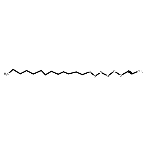 CC=COOOOOOCCCCCCCCCCCCC